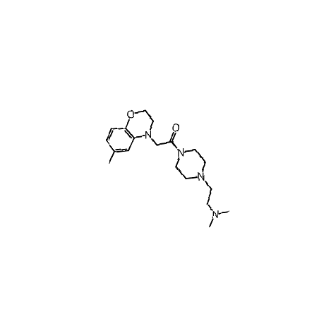 Cc1ccc2c(c1)N(CC(=O)N1CCN(CCN(C)C)CC1)CCO2